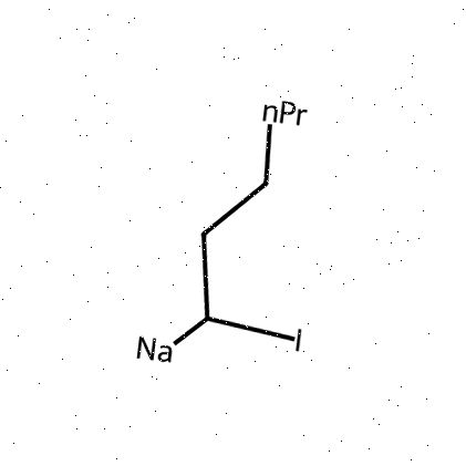 CCCCC[CH]([Na])I